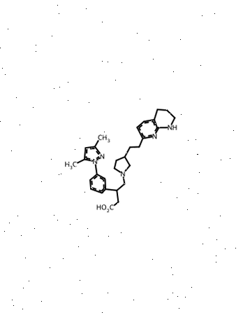 Cc1cc(C)n(-c2cccc(C(CC(=O)O)CN3CCC(CCc4ccc5c(n4)NCCC5)C3)c2)n1